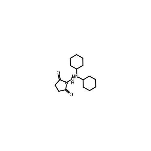 C1CCC(NC2CCCCC2)CC1.O=C1CCC(=O)N1O